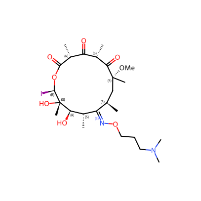 CO[C@]1(C)C[C@@H](C)/C(=N\OCCCN(C)C)[C@H](C)[C@@H](O)[C@](C)(O)[C@@H](I)OC(=O)[C@H](C)C(=O)[C@H](C)C1=O